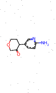 Nc1ccc(C2CCOCC2=O)cn1